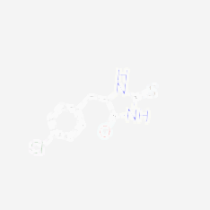 O=C1NC(=S)NC1Cc1ccc(Cl)cc1